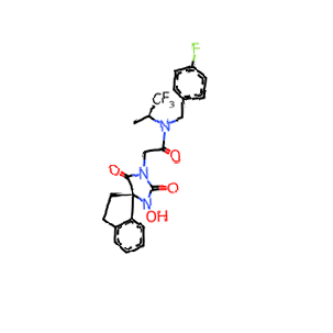 C[C@H](N(Cc1ccc(F)cc1)C(=O)CN1C(=O)N(O)[C@@]2(CCc3ccccc32)C1=O)C(F)(F)F